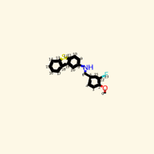 COc1ccc(CNc2ccc3sc4ccccc4c3c2)cc1F